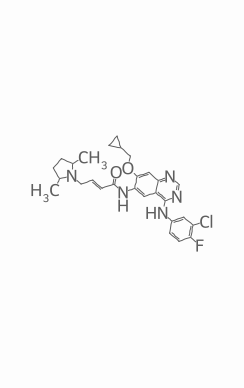 CC1CCC(C)N1CC=CC(=O)Nc1cc2c(Nc3ccc(F)c(Cl)c3)ncnc2cc1OCC1CC1